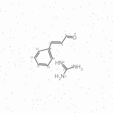 N=C(N)N.O=CC=Cc1ccccc1